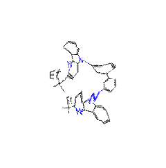 CCC(C)(C)c1ccc2c(n1)c1ccccc1n2-c1cccc(-c2cccc(-n3c4ccccc4c4nc(C(C)(C)CC)ccc43)c2)c1